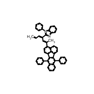 C=C/C=C(\C=C(/C)c1ccc2c3c(cccc13)-c1c-2c(-c2ccccc2)c2ccccc2c1-c1ccccc1)c1nc2ccccc2n1-c1ccccc1